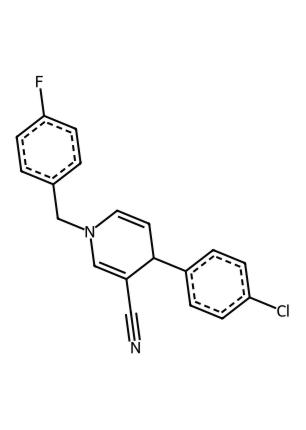 N#CC1=CN(Cc2ccc(F)cc2)C=CC1c1ccc(Cl)cc1